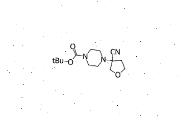 CC(C)(C)OC(=O)N1CCN(C2(C#N)CCOC2)CC1